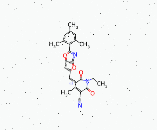 CCN1C(=O)C(C#N)=C(C)/C(=C/c2cc3oc(-c4c(C)cc(C)cc4C)nc3o2)C1=O